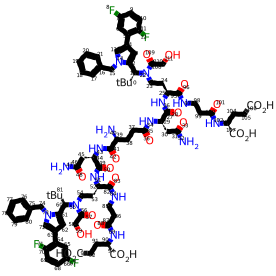 CC(C)(C)[C@H](c1cc(-c2cc(F)ccc2F)cn1Cc1ccccc1)N(CC[C@H](NC(=O)[C@H](CC(N)=O)NC(=O)CC[C@H](N)C(=O)N[C@@H](CC(N)=O)C(=O)N[C@@H](CCN(C(=O)CO)[C@@H](c1cc(-c2cc(F)ccc2F)cn1Cc1ccccc1)C(C)(C)C)C(=O)NCCC(=O)N[C@H](CCC(=O)O)C(=O)O)C(=O)NCCC(=O)N[C@H](CCC(=O)O)C(=O)O)C(=O)CO